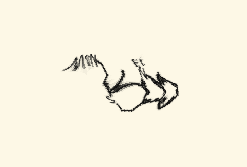 CCn1c2c(c3ccccc31)CCSC2(C)CCNC